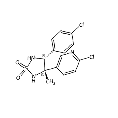 C[C@@]1(c2ccc(Cl)nc2)NS(=O)(=O)N[C@@H]1c1ccc(Cl)cc1